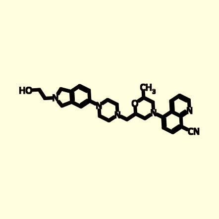 CC1CN(c2ccc(C#N)c3ncccc23)CC(CN2CCN(c3ccc4c(c3)CN(CCO)C4)CC2)O1